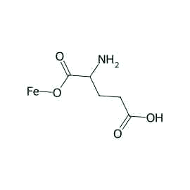 NC(CCC(=O)O)C(=O)[O][Fe]